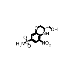 NS(=O)(=O)c1cc2c(c([N+](=O)[O-])c1)N[C@@H](CO)CO2